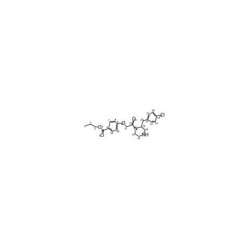 CCCOC(=O)c1ccc(OCC(=O)N2CCNCC2Cc2ccc(Cl)cc2)cc1